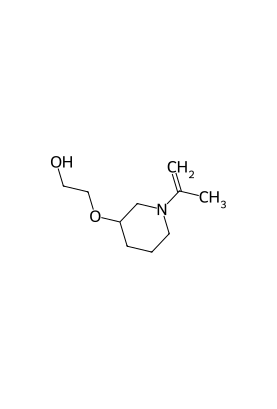 C=C(C)N1CCCC(OCCO)C1